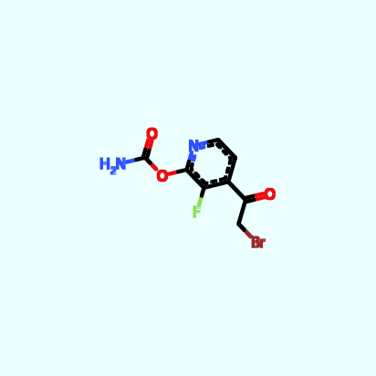 NC(=O)Oc1nccc(C(=O)CBr)c1F